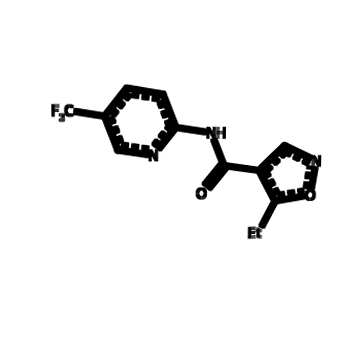 CCc1oncc1C(=O)Nc1ccc(C(F)(F)F)cn1